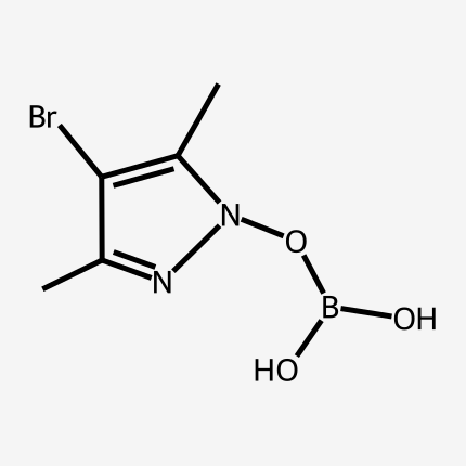 Cc1nn(OB(O)O)c(C)c1Br